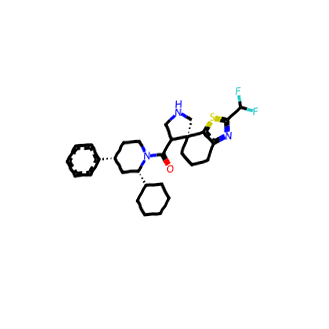 O=C(C1CNC[C@]12CCCc1nc(C(F)F)sc12)N1CC[C@@H](c2ccccc2)C[C@H]1C1CCCCC1